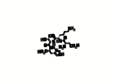 C[C@@H](O)[C@H](NC(=O)[C@H](CCCCN)NC(=O)[C@@H](N)CC(=O)O)C(=O)N[C@@H](Cc1c[nH]cn1)C(=O)O